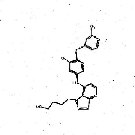 CC(=O)OCCCCn1ccc2ncnc([AsH]c3ccc(Oc4cccc(C(F)(F)F)c4)c(Cl)c3)c21